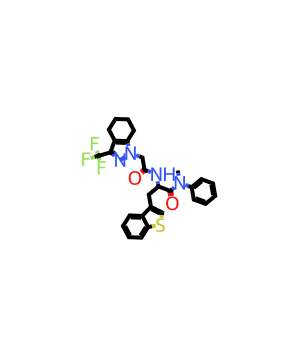 CN(C(=O)C(Cc1csc2ccccc12)NC(=O)Cn1nc(C(F)(F)F)c2c1CCCC2)c1ccccc1